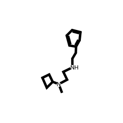 CN(CCNCCc1ccccc1)C1CCC1